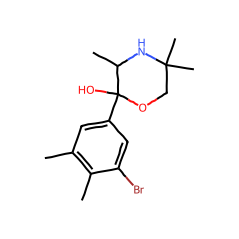 Cc1cc(C2(O)OCC(C)(C)NC2C)cc(Br)c1C